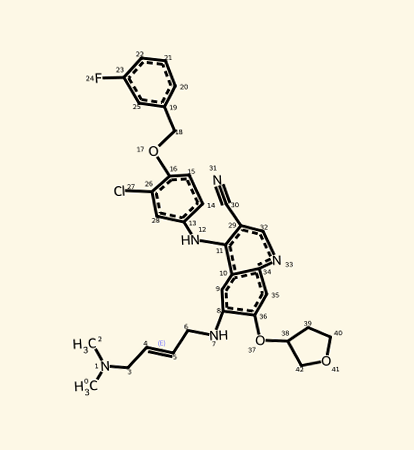 CN(C)C/C=C/CNc1cc2c(Nc3ccc(OCc4cccc(F)c4)c(Cl)c3)c(C#N)cnc2cc1OC1CCOC1